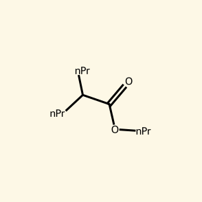 [CH2]CCOC(=O)C(CCC)CCC